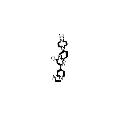 O=c1cc(-c2ccn3ccnc3c2)nc2ccc(N3CCNCC3)cn12